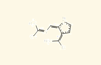 CC\C(C)=c1/cc[nH]/c1=C/N=C(\C)Cl